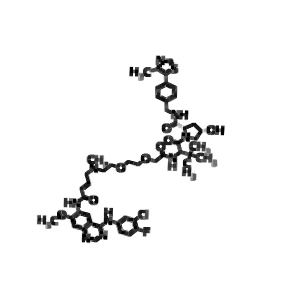 COc1cc2ncnc(Nc3ccc(F)c(Cl)c3)c2cc1NC(=O)/C=C/CN(C)CCOCCOCC(=O)NC(C(=O)N1C[C@@H](O)C[C@H]1C(=O)NCc1ccc(-c2scnc2C)cc1)C(C)(C)C